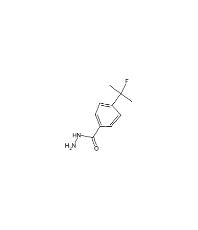 CC(C)(F)c1ccc(C(=O)NN)cc1